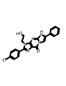 O=c1c2nc(-c3ccc(Cl)cc3)n(CCO)c2nc2[nH]c(-c3ccccc3)cn12